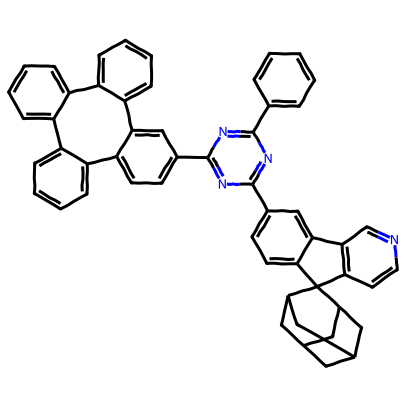 c1ccc(-c2nc(-c3ccc4c(c3)-c3ccccc3-c3ccccc3-c3ccccc3-4)nc(-c3ccc4c(c3)-c3cnccc3C43C4CC5CC(C4)CC3C5)n2)cc1